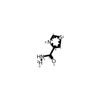 [2H]NC(=O)c1cscn1